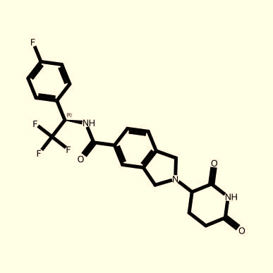 O=C1CCC(N2Cc3ccc(C(=O)N[C@H](c4ccc(F)cc4)C(F)(F)F)cc3C2)C(=O)N1